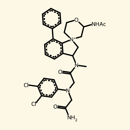 CC(=O)NC1C[N+]2(CCO1)CC(N(C)C(=O)CN(CC(N)=O)c1ccc(Cl)c(Cl)c1)c1cccc(-c3ccccc3)c12